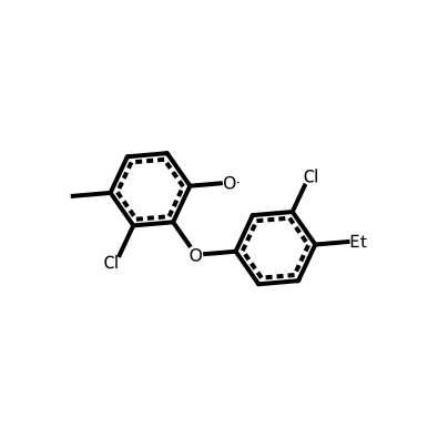 CCc1ccc(Oc2c([O])ccc(C)c2Cl)cc1Cl